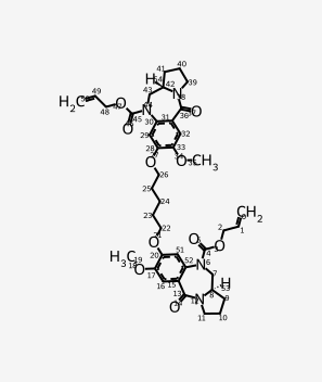 C=CCOC(=O)N1C[C@H]2CCCN2C(=O)c2cc(OC)c(OCCCCCOc3cc4c(cc3OC)C(=O)N3CCC[C@H]3CN4C(=O)OCC=C)cc21